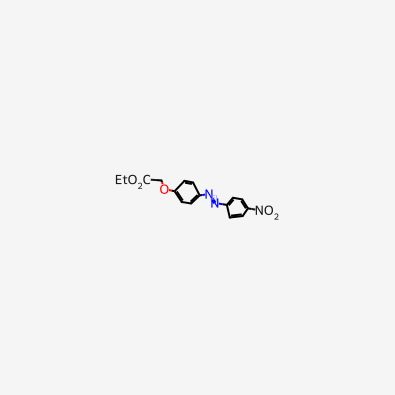 CCOC(=O)COc1ccc(/N=N/c2ccc([N+](=O)[O-])cc2)cc1